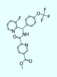 COC(=O)c1ccc(C(=O)NC(c2ccc(OC(F)(F)F)cc2)c2ncccc2F)nc1